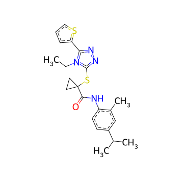 CCn1c(SC2(C(=O)Nc3ccc(C(C)C)cc3C)CC2)nnc1-c1cccs1